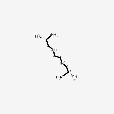 C[C@H](N)CNCCNC[C@H](C)N